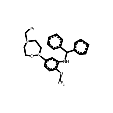 CC(C)CN1CCCN(c2ccc(OC(F)(F)F)c(NC(c3ccccc3)c3ccccc3)c2)CC1